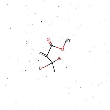 C=C(C(=O)OC(C)C)C(C)(Br)Br